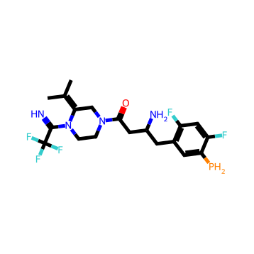 CC(C)=C1CN(C(=O)CC(N)Cc2cc(P)c(F)cc2F)CCN1C(=N)C(F)(F)F